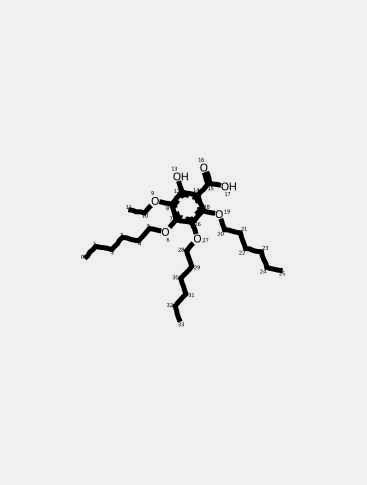 CCCCCCOc1c(OCC)c(O)c(C(=O)O)c(OCCCCCC)c1OCCCCCC